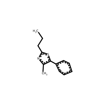 CCCc1nc(C)c(-c2ccccc2)s1